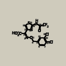 O=C(O)/C(=N/OCc1ccc(Cl)c(Cl)c1)c1csc(NC(=O)C(F)(F)F)n1